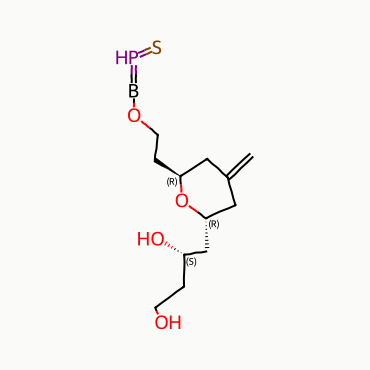 C=C1C[C@H](C[C@@H](O)CCO)O[C@@H](CCOB=[PH]=S)C1